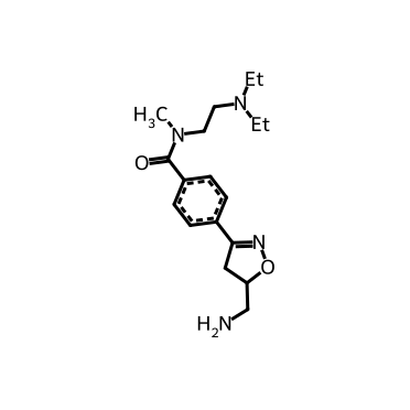 CCN(CC)CCN(C)C(=O)c1ccc(C2=NOC(CN)C2)cc1